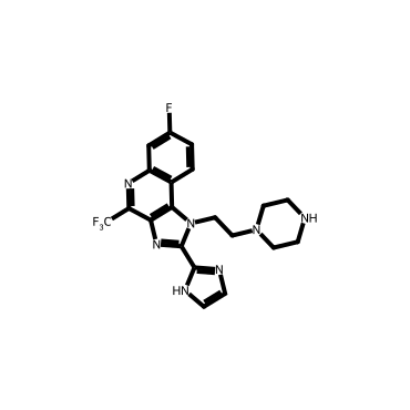 Fc1ccc2c(c1)nc(C(F)(F)F)c1nc(-c3ncc[nH]3)n(CCN3CCNCC3)c12